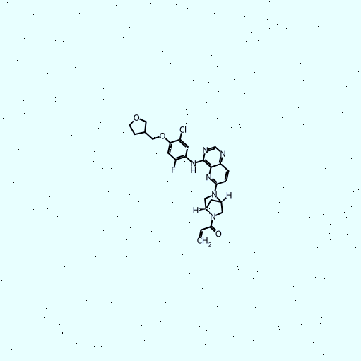 C=CC(=O)N1C[C@@H]2C[C@H]1CN2c1ccc2ncnc(Nc3cc(Cl)c(OCC4CCOC4)cc3F)c2n1